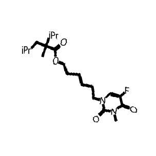 CC(C)CC(C)(C(=O)OCCCCCCn1cc(F)c(=O)n(C)c1=O)C(C)C